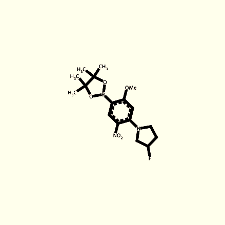 COc1cc(N2CCC(F)C2)c([N+](=O)[O-])cc1B1OC(C)(C)C(C)(C)O1